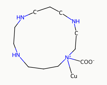 O=C([O-])[N+]1([Cu])CCCNCCNCCCNCC1